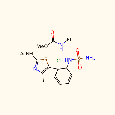 CC(=O)Nc1nc(C)c(C2(Cl)C=CC=CC2NS(N)(=O)=O)s1.CCNC(=O)OC